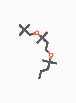 CCCC(C)(C)OCCC(C)(C)OCC(C)(C)C